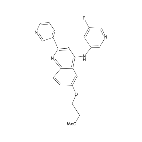 COCCOc1ccc2nc(-c3cccnc3)nc(Nc3cncc(F)c3)c2c1